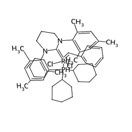 Cc1cc(C)c(N2CCCN(c3c(C)cc(C)cc3C)[C]2=[Ru]([Cl])([Cl])(=[CH]c2ccccc2)[PH](C2CCCCC2)(C2CCCCC2)C2CCCCC2)c(C)c1